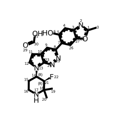 Cc1nc2cc(O)c(-c3cc4ccn([C@@H]5CCNC(C)(C)[C@@H]5F)c4nn3)cc2o1.O=CO